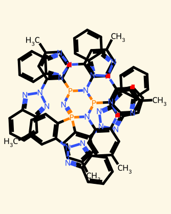 Cc1ccc(N2P(c3ccc(C)cc3-n3nc4ccccc4n3)N=P(c3ccc(C)cc3-n3nc4ccccc4n3)(c3ccc(C)cc3-n3nc4ccccc4n3)N(c3ccc(C)cc3-n3nc4ccccc4n3)P2c2ccc(C)cc2-n2nc3ccccc3n2)c(-n2nc3ccccc3n2)c1